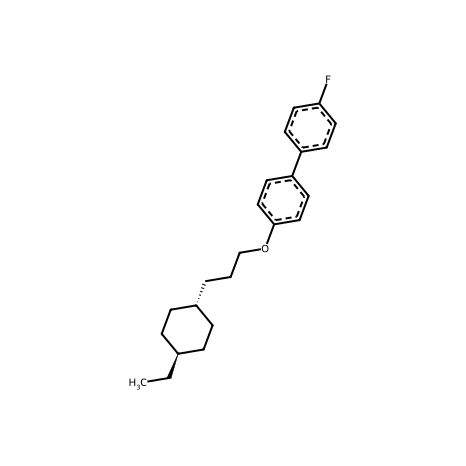 CC[C@H]1CC[C@H](CCCOc2ccc(-c3ccc(F)cc3)cc2)CC1